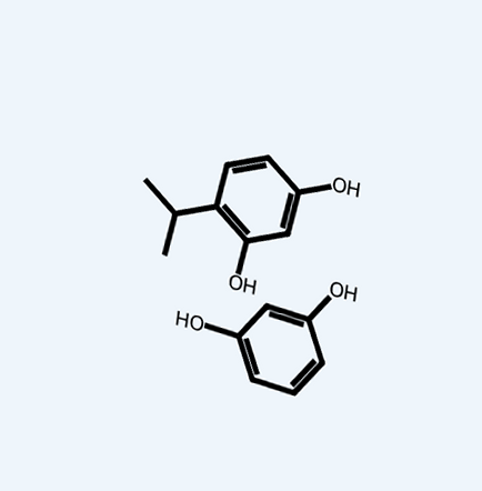 CC(C)c1ccc(O)cc1O.Oc1cccc(O)c1